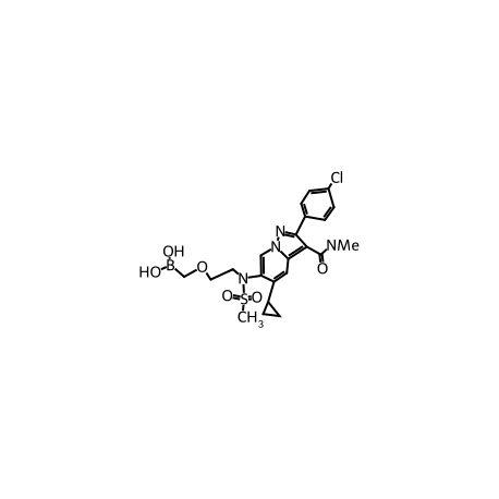 CNC(=O)c1c(-c2ccc(Cl)cc2)nn2cc(N(CCOCB(O)O)S(C)(=O)=O)c(C3CC3)cc12